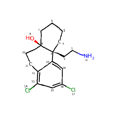 NCC[C@]12CCCC[C@@]1(O)CCc1c(Cl)cc(Cl)cc12